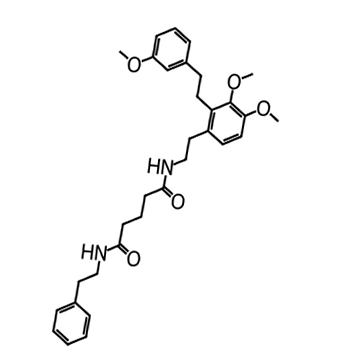 COc1cccc(CCc2c(CCNC(=O)CCCC(=O)NCCc3ccccc3)ccc(OC)c2OC)c1